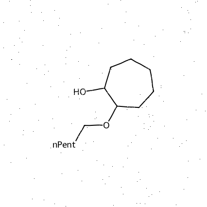 CCCCCCOC1CCCCCC1O